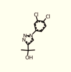 CC(C)(O)c1cn(-c2ccc(Cl)c(Cl)c2)nn1